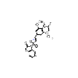 COc1cc(/C=C/S(=O)(=O)n2c(=S)sc3ccncc32)cc(OC)c1OC(F)F